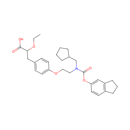 CCOC(Cc1ccc(OCCN(CC2CCCC2)C(=O)Oc2ccc3c(c2)CCC3)cc1)C(=O)O